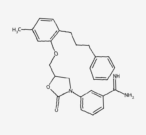 Cc1ccc(CCCc2ccccc2)c(OCC2CN(c3cccc(C(=N)N)c3)C(=O)O2)c1